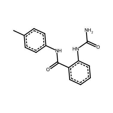 Cc1ccc(NC(=O)c2ccccc2NC(N)=O)cc1